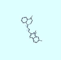 Cc1ccc2sc(/C=C/C=C3\C=CN(C)c4ccccc43)[n+](C)c2c1